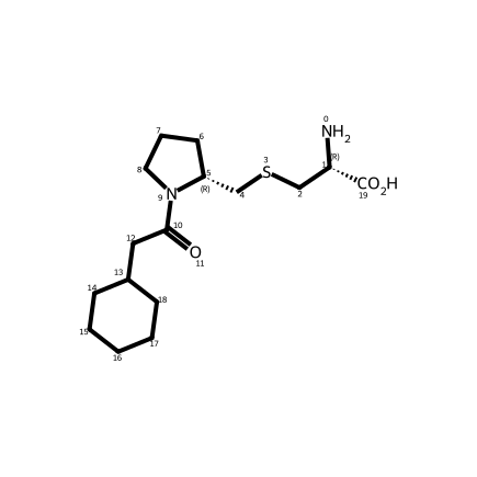 N[C@@H](CSC[C@H]1CCCN1C(=O)CC1CCCCC1)C(=O)O